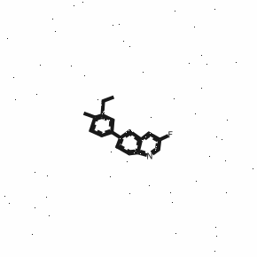 CCc1cc(-c2ccc3ncc(F)cc3c2)ccc1C